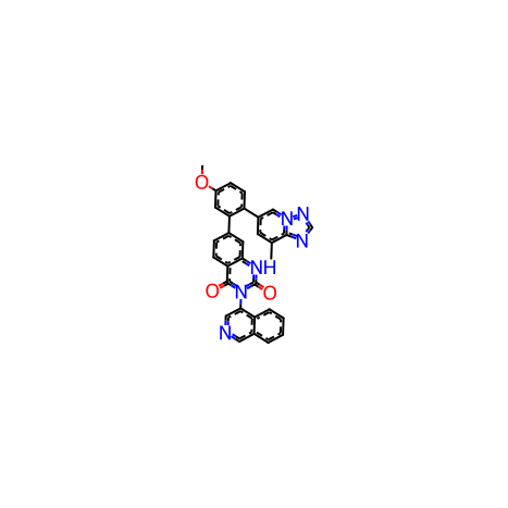 COc1ccc(-c2cc(C)c3ncnn3c2)c(-c2ccc3c(=O)n(-c4cncc5ccccc45)c(=O)[nH]c3c2)c1